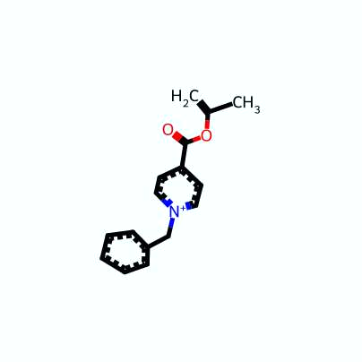 C=C(C)OC(=O)c1cc[n+](Cc2ccccc2)cc1